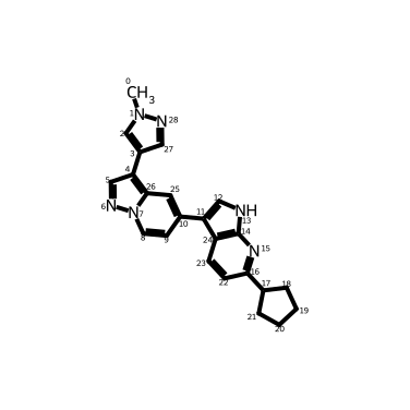 Cn1cc(-c2cnn3ccc(-c4c[nH]c5nc(C6CCCC6)ccc45)cc23)cn1